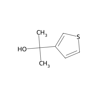 CC(C)(O)c1ccsc1